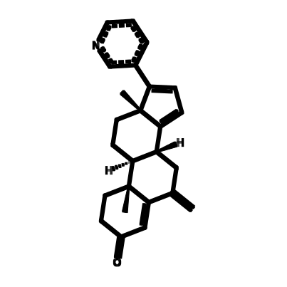 C=C1C[C@H]2C3=CC=C(c4cccnc4)[C@@]3(C)CC[C@@H]2[C@@]2(C)CCC(=O)C=C12